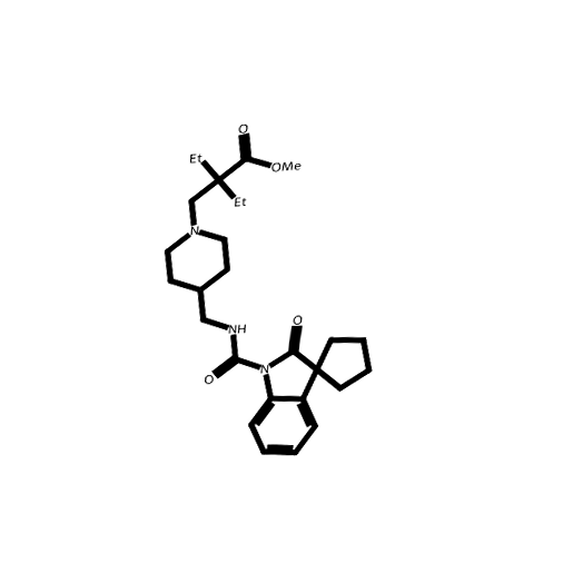 CCC(CC)(CN1CCC(CNC(=O)N2C(=O)C3(CCCC3)c3ccccc32)CC1)C(=O)OC